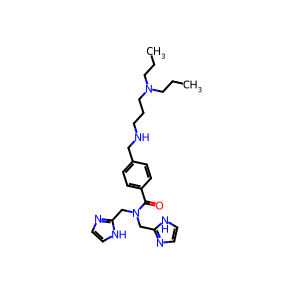 CCCN(CCC)CCCNCc1ccc(C(=O)N(Cc2ncc[nH]2)Cc2ncc[nH]2)cc1